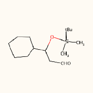 CC(C)(C)[Si](C)(C)OC(CC=O)C1CCCCC1